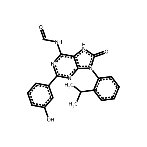 CC(C)c1ccccc1-n1c(=O)[nH]c2c(N[C]=O)nc(-c3cccc(O)c3)nc21